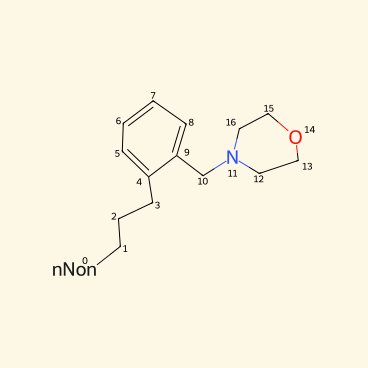 CCCCCCCCCCCCc1ccccc1CN1CCOCC1